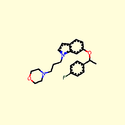 CC(Oc1ccc2ccn(CCCN3CCOCC3)c2c1)c1ccc(F)cc1